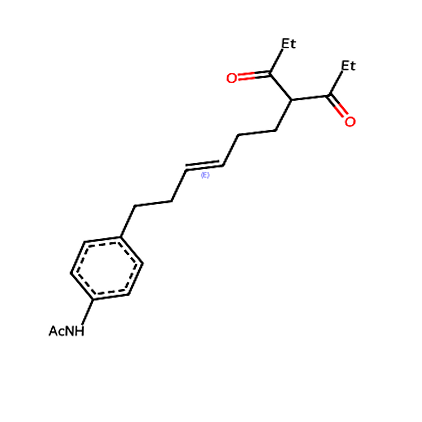 CCC(=O)C(CC/C=C/CCc1ccc(NC(C)=O)cc1)C(=O)CC